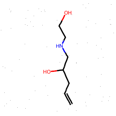 C=CCC(O)CNCCO